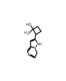 NC1(O)CCC1C1=CC2=CN=CCN2N1